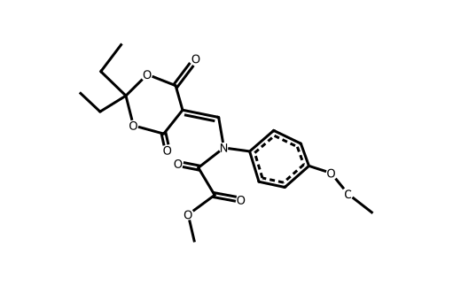 CCOc1ccc(N(C=C2C(=O)OC(CC)(CC)OC2=O)C(=O)C(=O)OC)cc1